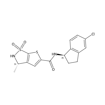 C[C@@H]1NS(=O)(=O)c2sc(C(=O)N[C@@H]3CCc4cc(Cl)ccc43)cc21